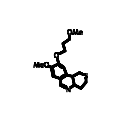 COCCCOc1cc2c(cc1OC)C=NC1CCSCC21